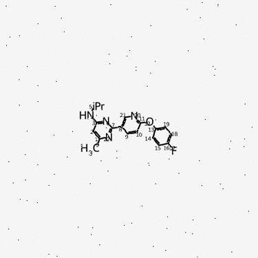 Cc1cc(NC(C)C)nc(-c2ccc(Oc3ccc(F)cc3)nc2)n1